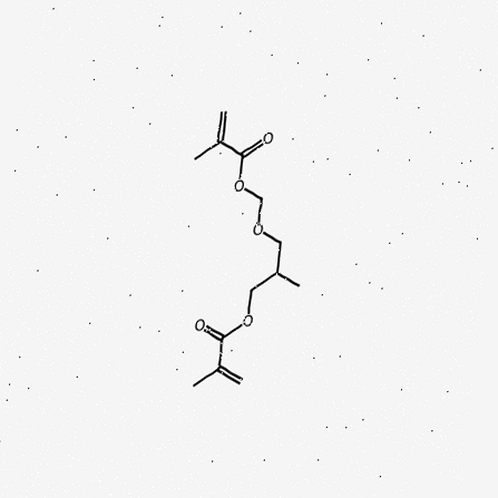 C=C(C)C(=O)OCOCC(C)COC(=O)C(=C)C